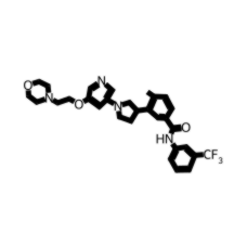 Cc1ccc(C(=O)Nc2cccc(C(F)(F)F)c2)cc1C1CCN(c2cncc(OCCN3CCOCC3)c2)C1